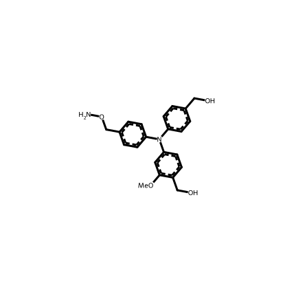 COc1cc(N(c2ccc(CO)cc2)c2ccc(CON)cc2)ccc1CO